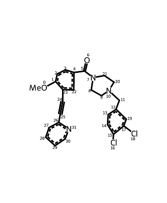 COc1ccc(C(=O)N2CCN(Cc3ccc(Cl)c(Cl)c3)CC2)cc1C#Cc1ccccn1